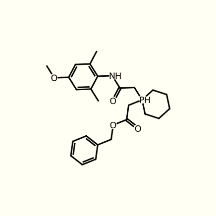 COc1cc(C)c(NC(=O)C[PH]2(CC(=O)OCc3ccccc3)CCCCC2)c(C)c1